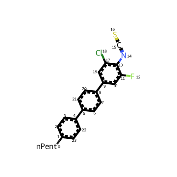 CCCCCc1ccc(-c2ccc(-c3cc(F)c(N=C=S)c(Cl)c3)cc2)cc1